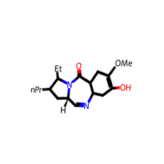 CCCC1C[C@H]2C=NC3CC(O)=C(OC)CC3C(=O)N2C1CC